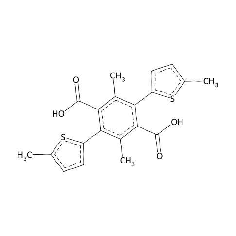 Cc1ccc(-c2c(C)c(C(=O)O)c(-c3ccc(C)s3)c(C)c2C(=O)O)s1